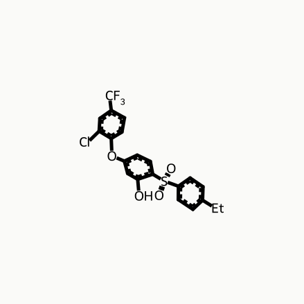 CCc1ccc(S(=O)(=O)c2ccc(Oc3ccc(C(F)(F)F)cc3Cl)cc2O)cc1